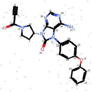 C#CC(=O)N1CC[C@@H](n2c(=O)n(-c3ccc(Oc4ccccc4)cc3)c3c(N)ncnc32)C1